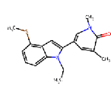 CCn1c(-c2cc(C)c(=O)n(C)c2)cc2c(SC)cccc21